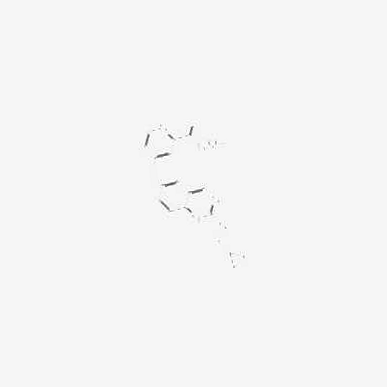 CNC(=O)c1cc(Oc2ccc3nc(NCC4CC4)ncc3c2)ccn1